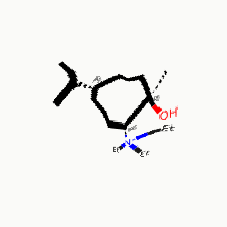 C=C(C)[C@@H]1CC[C@@](C)(O)[C@H]([N+](CC)(CC)CC)C1